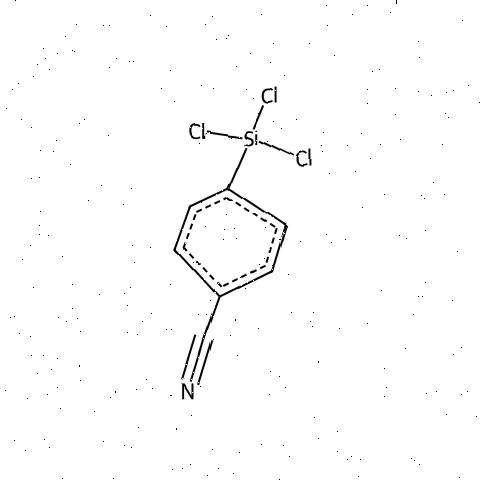 N#Cc1ccc([Si](Cl)(Cl)Cl)cc1